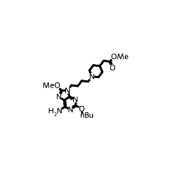 CCCCOc1nc(N)c2nc(OC)n(CCCCN3CCC(CC(=O)OC)CC3)c2n1